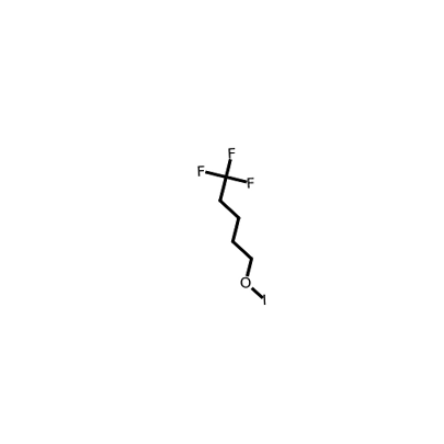 FC(F)(F)CCCCOI